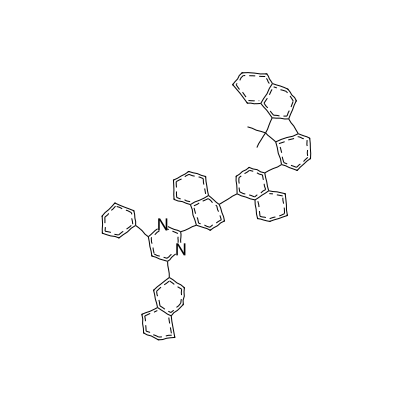 CC1(C)c2c(cccc2-c2ccc(-c3ccc(-c4nc(-c5ccccc5)cc(-c5ccc6ccccc6c5)n4)c4ccccc34)c3ccccc23)-c2ccc3ccccc3c21